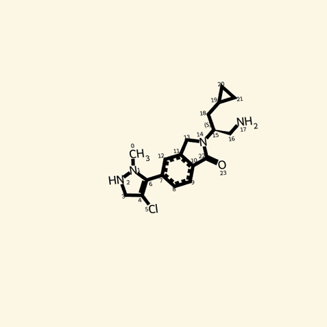 CN1NCC(Cl)=C1c1ccc2c(c1)CN([C@H](CN)CC1CC1)C2=O